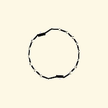 C1=C/CCCCCCCOC/C=C/CCCCCCC/1